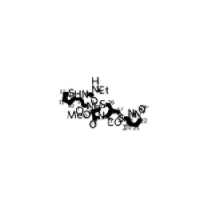 CCNC(=O)NC(C(=O)N[C@@]1(OC)C(=O)N2C(C(=O)O)=C(CSc3ccc[n+]([O-])n3)CSC21)c1cccs1